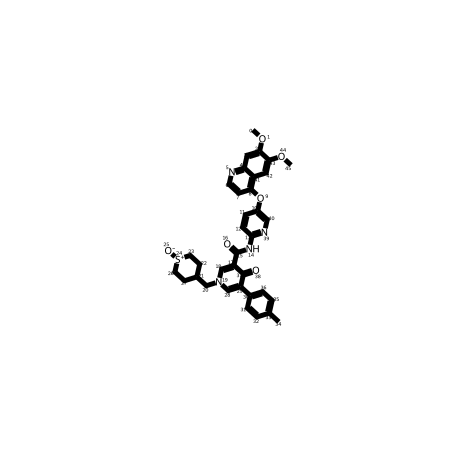 COc1cc2nccc(Oc3ccc(NC(=O)c4cn(CC5CC[S+]([O-])CC5)cc(-c5ccc(C)cc5)c4=O)nc3)c2cc1OC